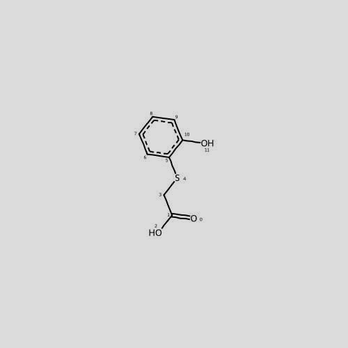 O=C(O)CSc1ccccc1O